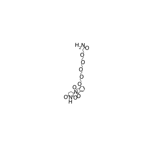 NC(=O)CCOCCOCCOCCOCCOc1cccc2c1C(=O)N([C@@H]1CCC(=O)NC1=O)C2=O